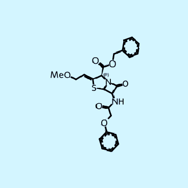 COCC=C1SC2C(NC(=O)COc3ccccc3)C(=O)N2[C@@H]1C(=O)OCc1ccccc1